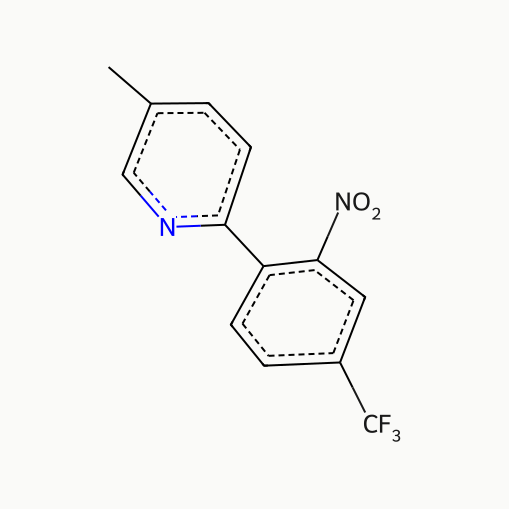 Cc1ccc(-c2ccc(C(F)(F)F)cc2[N+](=O)[O-])nc1